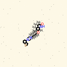 [2H]c1c(OC([2H])([2H])C([2H])([2H])C([2H])([2H])C([2H])([2H])N2CCN(c3cccc4sccc34)CC2)c([2H])c2[nH]c(=O)c([2H])c([2H])c2c1[2H]